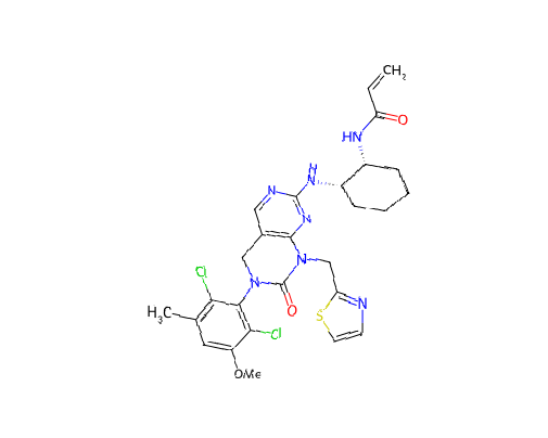 C=CC(=O)N[C@@H]1CCCC[C@@H]1Nc1ncc2c(n1)N(Cc1nccs1)C(=O)N(c1c(Cl)c(C)cc(OC)c1Cl)C2